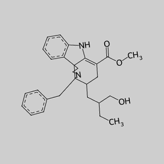 CCC(CO)CC1CC(C(=O)OC)=C2Nc3ccccc3C23CCN(Cc2ccccc2)C13